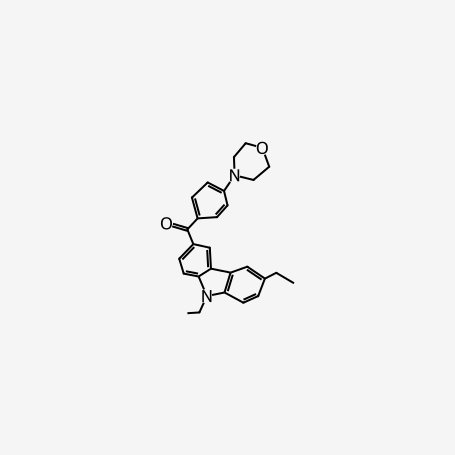 CCc1ccc2c(c1)c1cc(C(=O)c3ccc(N4CCOCC4)cc3)ccc1n2CC